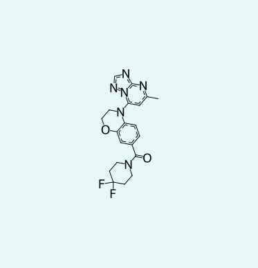 Cc1cc(N2CCOc3cc(C(=O)N4CCC(F)(F)CC4)ccc32)n2ncnc2n1